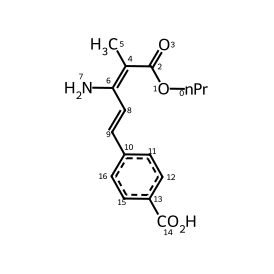 CCCOC(=O)C(C)=C(N)C=Cc1ccc(C(=O)O)cc1